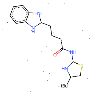 CC(C)(C)C1CSC(NC(=O)CCCC2Nc3ccccc3N2)N1